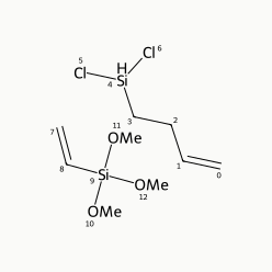 C=CCC[SiH](Cl)Cl.C=C[Si](OC)(OC)OC